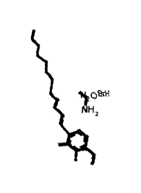 Br.CCCCCCCCCCCCc1ccc(CC)c(C)c1C.CCN.O